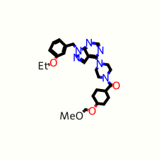 CCOc1cccc(Cn2ncc3c(N4CCN(C(=O)C5CCC(OCOC)CC5)CC4)ncnc32)c1